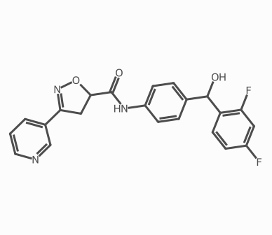 O=C(Nc1ccc(C(O)c2ccc(F)cc2F)cc1)C1CC(c2cccnc2)=NO1